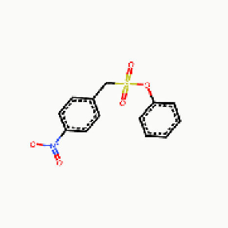 O=[N+]([O-])c1ccc(CS(=O)(=O)Oc2ccccc2)cc1